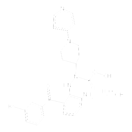 COC(=O)N(Nc1c(N)cccc1C(=O)c1cccc(Br)c1)C1CCN(c2ccncc2)CC1.Cl.O